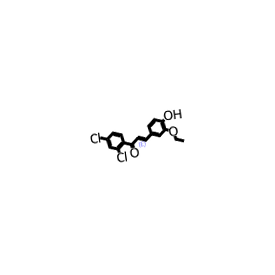 CCOc1cc(/C=C/C(=O)c2ccc(Cl)cc2Cl)ccc1O